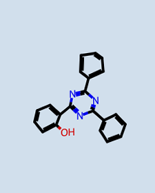 Oc1ccccc1-c1nc(-c2ccccc2)nc(-c2ccccc2)n1